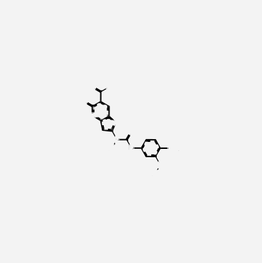 COc1cc(NC(=O)N(C)c2cc3oc(=O)c(C(=O)O)cc3s2)ccc1C